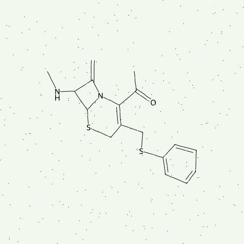 C=C1C(NC)C2SCC(CSc3ccccc3)=C(C(C)=O)N12